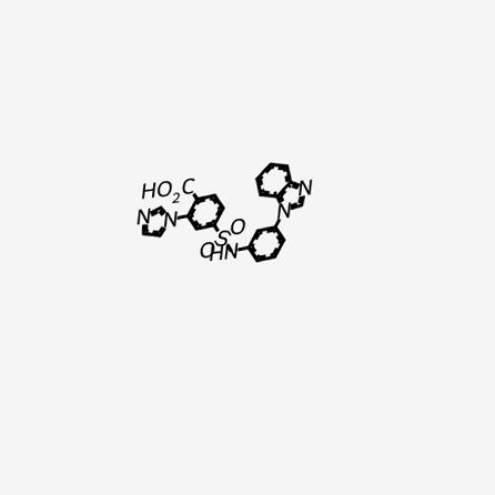 O=C(O)c1ccc(S(=O)(=O)Nc2cccc(-n3cnc4ccccc43)c2)cc1-n1ccnc1